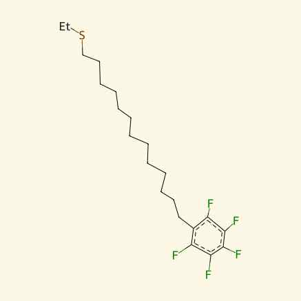 CCSCCCCCCCCCCCCCc1c(F)c(F)c(F)c(F)c1F